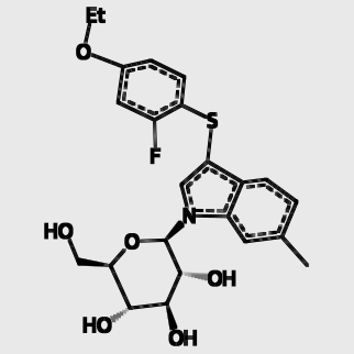 CCOc1ccc(Sc2cn([C@@H]3O[C@H](CO)[C@@H](O)[C@H](O)[C@H]3O)c3cc(C)ccc23)c(F)c1